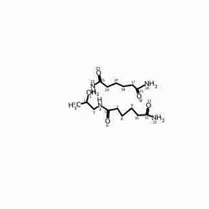 CC(O)CNC(=O)CCCCC(N)=O.NC(=O)CCCCC(N)=O